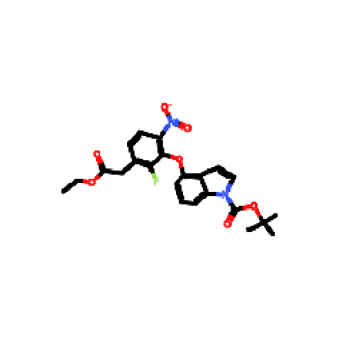 CCOC(=O)Cc1ccc([N+](=O)[O-])c(Oc2cccc3c2ccn3C(=O)OC(C)(C)C)c1F